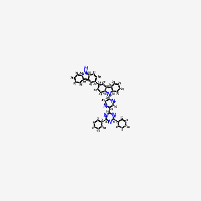 c1ccc(-c2nc(-c3ccccc3)nc(-c3cnc(-n4c5ccccc5c5cc(-c6ccc7[nH]c8ccccc8c7c6)ccc54)cn3)n2)cc1